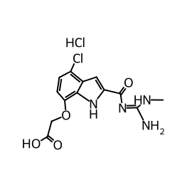 CNC(N)=NC(=O)c1cc2c(Cl)ccc(OCC(=O)O)c2[nH]1.Cl